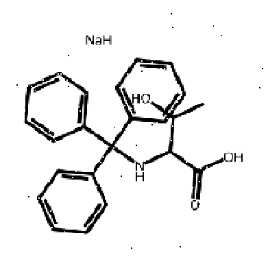 CC(O)C(NC(c1ccccc1)(c1ccccc1)c1ccccc1)C(=O)O.[NaH]